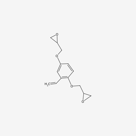 C=Cc1cc(OCC2CO2)ccc1OCC1CO1